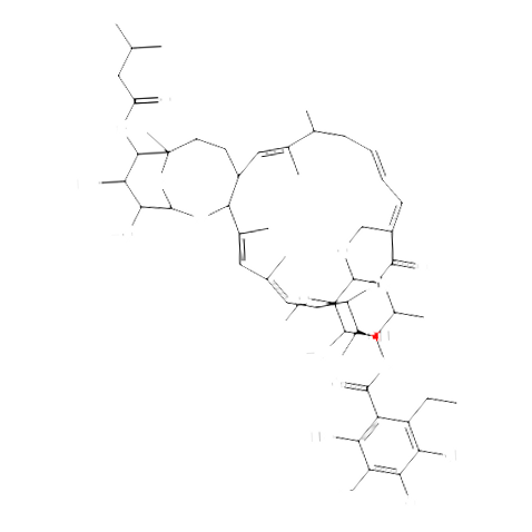 CCc1c(Cl)c(O)c(Cl)c(O)c1C(=O)OC1C(C)OC(OC/C2=C\C=C\CC(O)/C(C)=C/C3CCC4(C)OC(OC3/C(C)=C/C(C)=C/CC(C(C)O)OC2=O)C(O)C(O)C4OC(=O)CC(C)C)C(OC)C1O